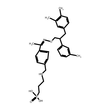 CC(=NOCC(Cc1ccc(C)c(C)c1)c1cccc(C)c1)c1ccc(CNCCCP(=O)(O)O)cc1